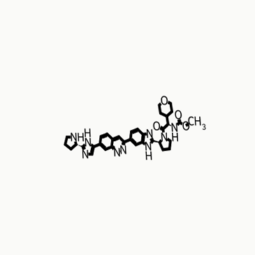 COC(=O)N[C@H](C(=O)N1CCC[C@H]1c1nc2ccc(-c3cc4ccc(-c5cnc([C@@H]6CCCN6)[nH]5)cc4nn3)cc2[nH]1)C1CCOCC1